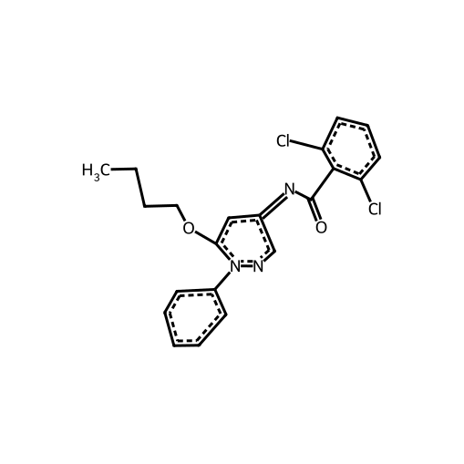 CCCCOc1cc(=NC(=O)c2c(Cl)cccc2Cl)cnn1-c1ccccc1